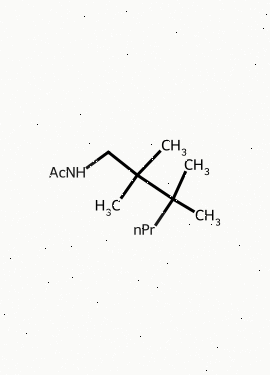 CCCC(C)(C)C(C)(C)CNC(C)=O